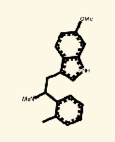 CNC(Cc1c[nH]c2cc(OC)ccc12)c1ccccc1C